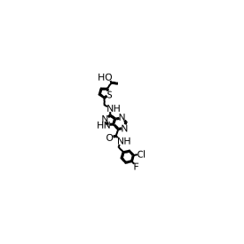 C=C(O)c1ccc(CNc2n[nH]c3c(C(=O)NCc4ccc(F)c(Cl)c4)ncnc23)s1